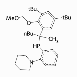 CCCCC(C)(Pc1ccccc1N1CCCCC1)c1cc(C(C)(C)C)cc(C(C)(C)C)c1OCOC